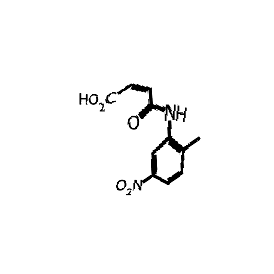 Cc1ccc([N+](=O)[O-])cc1NC(=O)/C=C\C(=O)O